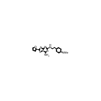 CNc1ccc(CCNc2nc(N)n3nc(-c4ccco4)nc3n2)cc1